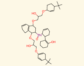 CC(C)(C)C1C=CC(OCC(O)COC2C3=C(C=CCC3)C(OCC(O)COC3C=CC(C(C)(C)C)CC3)CC2[PH](=O)C2C=CCCC2C2=C(O)CCCC2)=CC1